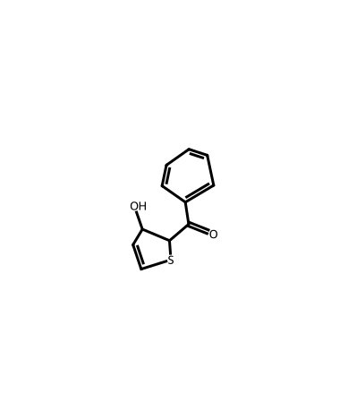 O=C(c1ccccc1)C1SC=CC1O